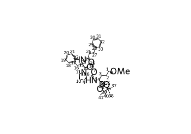 COCCCC(NC(=O)[C@@H]1CCCN1C(=O)C(Cc1ccccc1)NC(=O)CCc1ccccc1)B1OC(C)(C)C(C)(C)O1